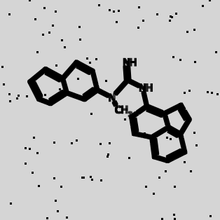 CN(C(=N)Nc1ccc2cccc3c2c1C=C3)c1ccc2ccccc2c1